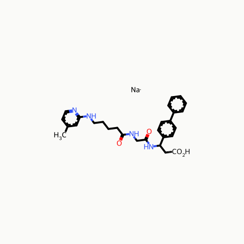 Cc1ccnc(NCCCCC(=O)NCC(=O)NC(CC(=O)O)c2ccc(-c3ccccc3)cc2)c1.[Na]